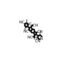 N#CC(C#N)=C1C(c2cc(C#N)ncc2F)=C(C#N)c2cc3c(cc21)C(C#N)=C(c1cc(F)c(C#N)cc1F)C3=C(C#N)C#N